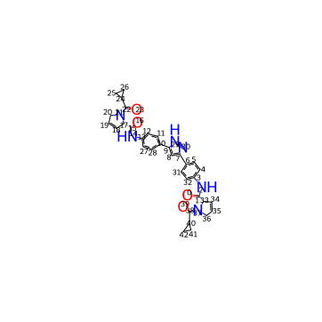 O=C(Nc1ccc(-c2cc(-c3ccc(NC(=O)[C@@H]4C=CCN4C(=O)C4CC4)cc3)[nH]n2)cc1)[C@@H]1C=CCN1C(=O)C1CC1